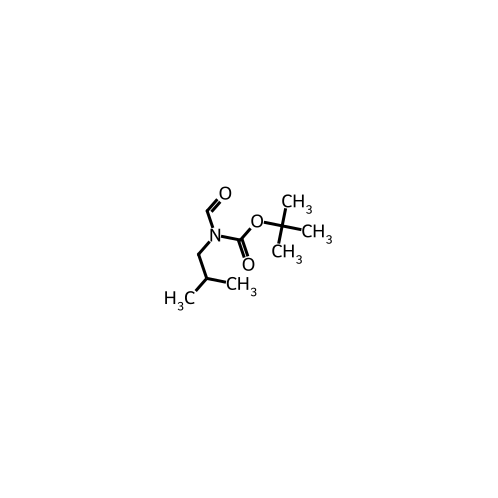 CC(C)CN(C=O)C(=O)OC(C)(C)C